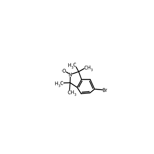 CC1(C)c2ccc(Br)cc2C(C)(C)N1[O]